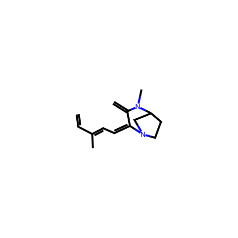 C=C/C(C)=C/C=C1\C(=C)N(C)C2CCN1C2